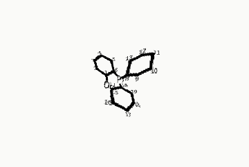 OC1CCCCC1P(C1CCCCC1)C1CCCCC1